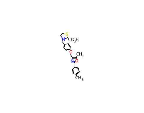 Cc1ccc(-c2nc(COc3ccc(CN4CCSC4C(=O)O)cc3)c(C)o2)cc1